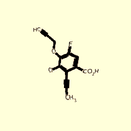 C#CCOc1c(F)cc(C(=O)O)c(C#CC)c1Cl